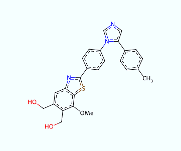 COc1c(CO)c(CO)cc2nc(-c3ccc(-n4cncc4-c4ccc(C)cc4)cc3)sc12